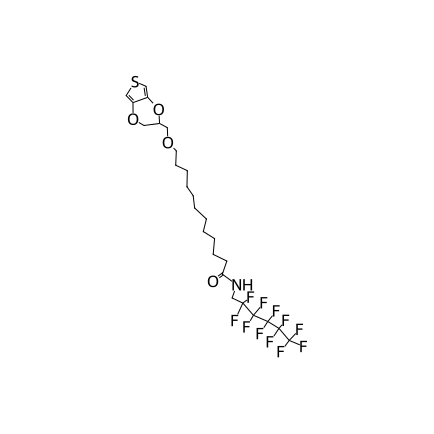 O=C(CCCCCCCCCCCOCC1COc2cscc2O1)NCC(F)(F)C(F)(F)C(F)(F)C(F)(F)C(F)(F)F